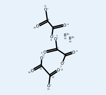 O=C([O-])C(=O)[O-].O=C([O-])C(=O)[O-].O=C([O-])C(=O)[O-].[B+3].[B+3]